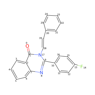 O=c1c2ccccc2nc(-c2ccc(F)cc2)n1C=Cc1ccccc1